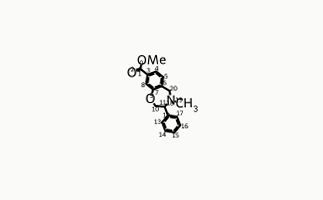 COC(=O)c1ccc2c(c1)OCC(c1ccccc1)N(C)C2